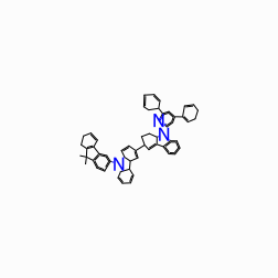 CC1(C)C2=C(C=CCC2)c2cc(N3C4C=CC=CC4C4C=C(C5C=C6c7ccccc7N(c7cc(C8=CCCC=C8)cc(C8C=CC=CC8)n7)C6CC5)C=CC43)ccc21